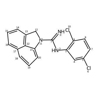 N=C(Nc1cc(Cl)ccc1Cl)N1Cc2cccc3cccc1c23